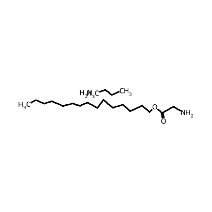 CCCC.CCCCCCCCCCCCCCCOC(=O)CN.N